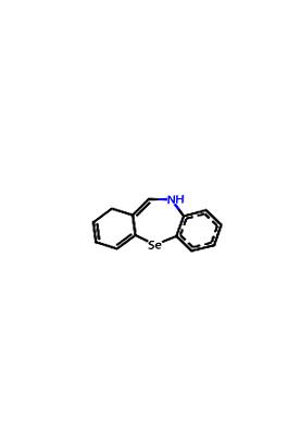 C1=CCC2=CNc3ccccc3[Se]C2=C1